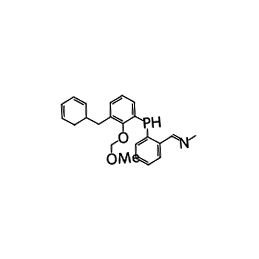 C/N=C/c1ccccc1Pc1cccc(CC2C=CC=CC2)c1OCOC